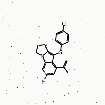 C=C(C)c1cc(F)cc2c1c(Sc1ccc(Cl)cc1)c1n2CC[C]1